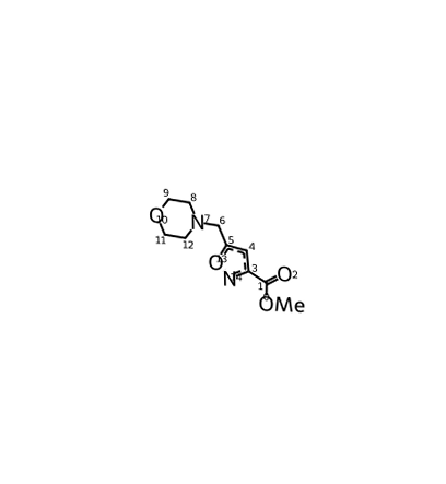 COC(=O)c1cc(CN2CCOCC2)on1